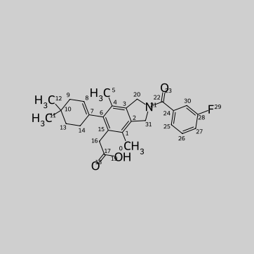 Cc1c2c(c(C)c(C3=CCC(C)(C)CC3)c1CC(=O)O)CN(C(=O)c1cccc(F)c1)C2